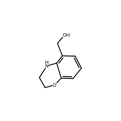 OCc1cccc2c1NCCO2